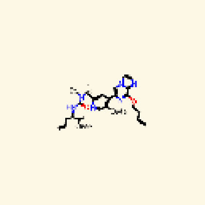 C=CCCOc1nc(-c2cc([C@@H](C)N(CC)C(=O)NC(CC=C)C(C)OC)ncc2OC)cn2ccnc12